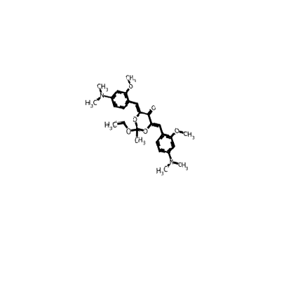 CCOC1(C)O/C(=C\c2ccc(N(C)C)cc2OC)C(=O)/C(=C/c2ccc(N(C)C)cc2OC)O1